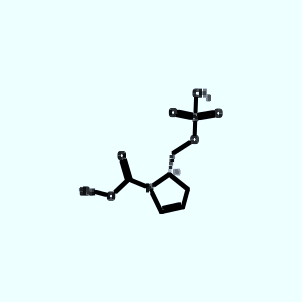 CC(C)(C)OC(=O)N1C=CC[C@H]1COS(C)(=O)=O